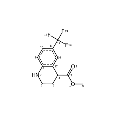 COC(=O)C1CCNc2ccc(C(F)(F)F)cc21